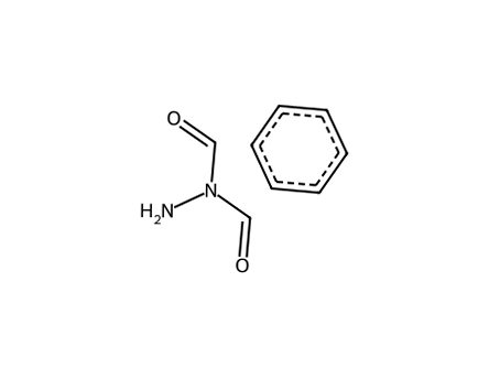 NN(C=O)C=O.c1ccccc1